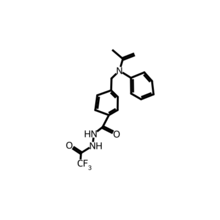 C=C(C)N(Cc1ccc(C(=O)NNC(=O)C(F)(F)F)cc1)c1ccccc1